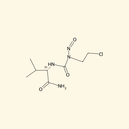 CC(C)[C@H](NC(=O)N(CCCl)N=O)C(N)=O